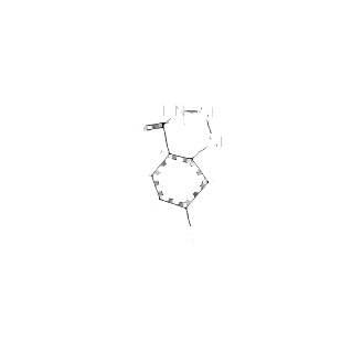 Cc1ccc2c(c1)NNNC2=O